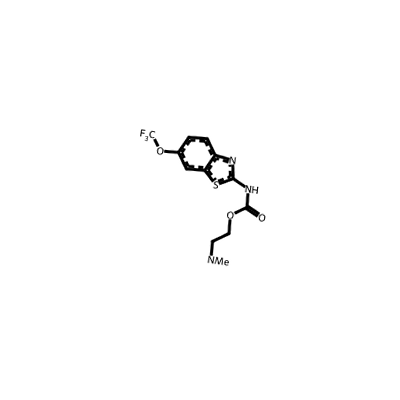 CNCCOC(=O)Nc1nc2ccc(OC(F)(F)F)cc2s1